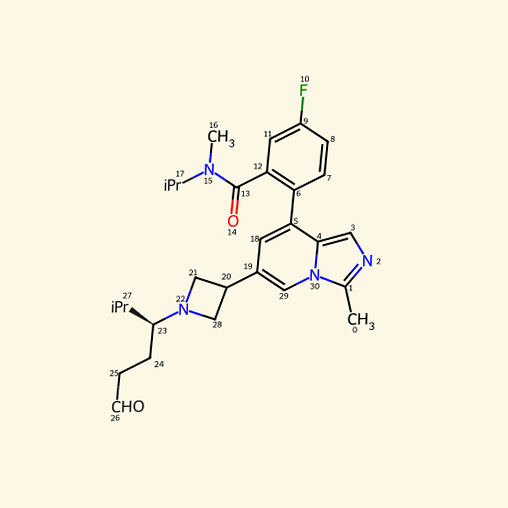 Cc1ncc2c(-c3ccc(F)cc3C(=O)N(C)C(C)C)cc(C3CN([C@@H](CCC=O)C(C)C)C3)cn12